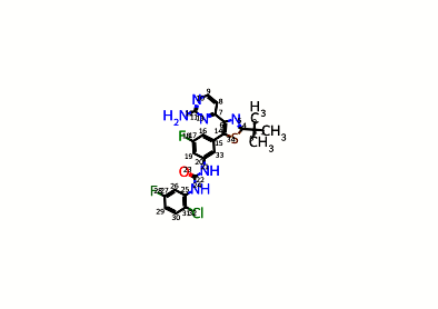 CC(C)(C)c1nc(-c2ccnc(N)n2)c(-c2cc(F)cc(NC(=O)Nc3cc(F)ccc3Cl)c2)s1